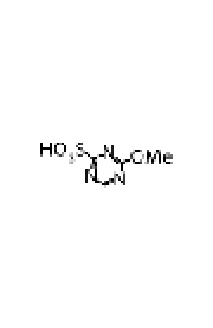 COc1ncnc(S(=O)(=O)O)n1